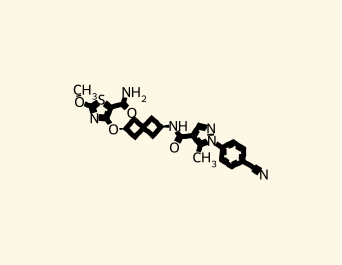 COc1nc(O[C@H]2CC3(C[C@H](NC(=O)c4cnn(-c5ccc(C#N)cc5)c4C)C3)C2)c(C(N)=O)s1